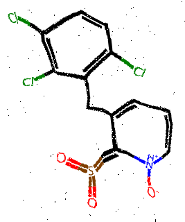 O=S(=O)=C1C(Cc2c(Cl)ccc(Cl)c2Cl)=CC=C[NH+]1[O-]